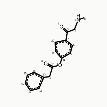 CNCC(=O)c1ccc(OC(=O)Cc2ccccc2)cc1